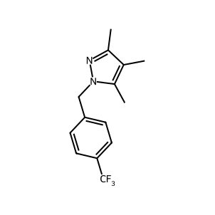 Cc1nn(Cc2ccc(C(F)(F)F)cc2)c(C)c1C